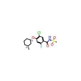 C[C@H]1CCC[C@H](Oc2cc(F)c(C(=O)NS(C)(=O)=O)cc2Cl)C1